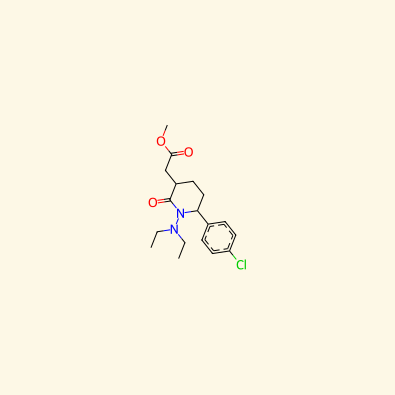 CCN(CC)N1C(=O)C(CC(=O)OC)CCC1c1ccc(Cl)cc1